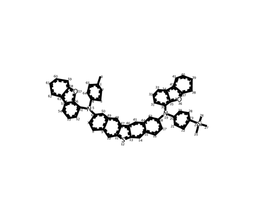 Cc1ccc(N(c2ccc3cc4sc5cc6ccc(N(c7ccc([Si](C)(C)C)cc7)c7cccc8c7oc7ccccc78)cc6cc5c4cc3c2)c2cccc3c2oc2ccccc23)cc1